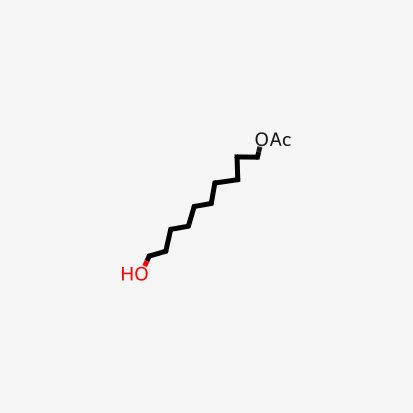 CC(=O)OCCCCCCCCCCO